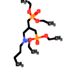 CCCCNCC(CP(=O)(OCC)OCC)CP(=O)(OCC)OCC